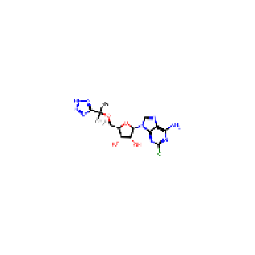 CCCC(OC[C@H]1O[C@@H](n2cnc3c(N)nc(Cl)nc32)[C@H](O)[C@@H]1O)(C(=O)O)c1nn[nH]n1